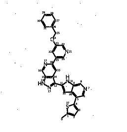 Cc1ccc(-c2cncc3[nH]c(-c4n[nH]c5cnc(-c6cncc(OCc7ccccc7)c6)cc45)cc23)s1